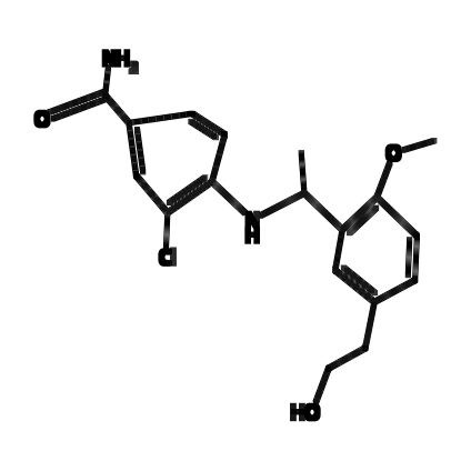 COc1ccc(CCO)cc1C(C)Nc1ccc(C(N)=O)cc1Cl